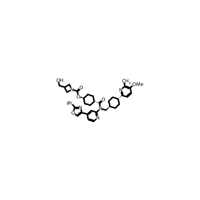 COc1ccc([C@H]2CC[C@H](CN(c3cc(-c4coc(C(C)C)n4)ccn3)C(=O)[C@H]3CC[C@H](OC(=O)N4CC(CO)C4)CC3)CC2)nc1C